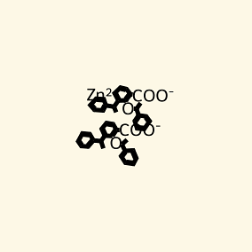 CC(Oc1c(C(=O)[O-])cccc1C(C)c1ccccc1)c1ccccc1.CC(Oc1c(C(=O)[O-])cccc1C(C)c1ccccc1)c1ccccc1.[Zn+2]